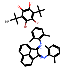 CC(C)(C)c1c([O-])c([O-])c(C(C)(C)C)c(Br)c1Br.Cc1cccc(C)c1/N=C1\C(=N\c2c(C)cccc2C)c2cccc3cccc1c23.[Ni+2]